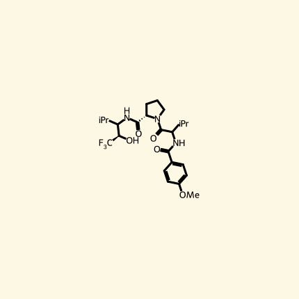 COc1ccc(C(=O)NC(C(=O)N2CCC[C@H]2C(=O)NC(C(C)C)[C@@H](O)C(F)(F)F)C(C)C)cc1